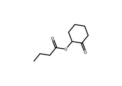 CCCC(=O)OC1CCCCC1=O